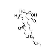 C=CCS[S+]([O-])CC=C.CCCCCCC=CC(CC(=O)O)C(=O)O